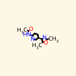 CC(=O)Nc1ccc(-c2nc(C)oc2C)cn1